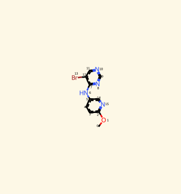 COc1ccc(Nc2ncncc2Br)cn1